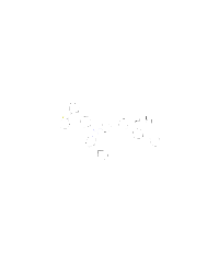 CC1(C)c2ccc(-c3ccc(N(c4ccc(-c5cccc6sc7ccccc7c56)cc4)c4cccc(-c5ccccc5)c4)cc3)cc2-c2ccc(-c3ccccc3)cc21